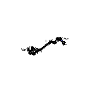 CN[C@@H](C)C(=O)N[C@H](C(=O)N1CCC[C@H]1C(=O)Nc1sc(NC(=O)COCCOCCOCCOCCN(C)C(=O)Cc2cccc(CNC(=O)c3cc(/C=C/C4CCC(F)(F)CC4)c(OC)cn3)c2)nc1-c1ccccc1)C1CCCCC1